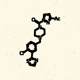 CC(=O)c1ccn(C(=O)N2CCN(Cc3ccc(Cl)c(-c4nccs4)c3)CC2)n1